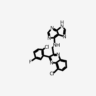 Fc1ccc(Cl)c(-c2nc3c(Cl)cccc3nc2CNc2ncnc3[nH]cnc23)c1